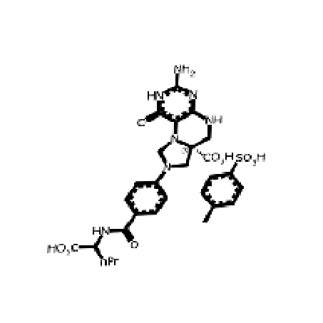 CCCC(NC(=O)c1ccc(N2CN3c4c(nc(N)[nH]c4=O)NC[C@@]3(C(=O)O)C2)cc1)C(=O)O.Cc1ccc(S(=O)(=O)O)cc1